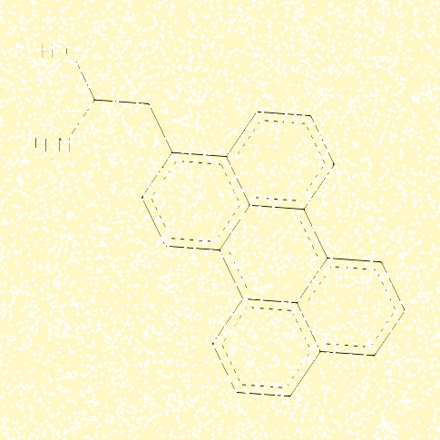 CC(N)Cc1ccc2c3cccc4cccc(c5cccc1c52)c43